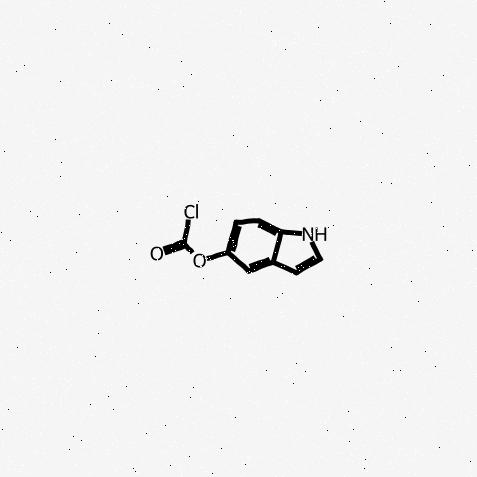 O=C(Cl)Oc1ccc2[nH]ccc2c1